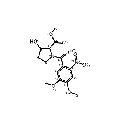 COC(=O)[C@@H]1C(O)CCN1C(=O)c1cc(OC)c(OC)cc1[N+](=O)[O-]